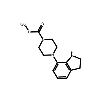 CC(C)(C)OC(=O)N1CCN(c2cccc3c2NCC3)CC1